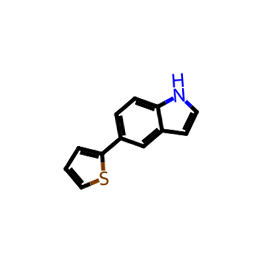 c1csc(-c2ccc3[nH]ccc3c2)c1